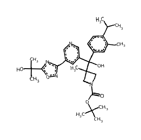 Cc1cc(C(O)(c2cncc(-c3noc(C(C)(C)O)n3)c2)C2(C)CN(C(=O)OC(C)(C)C)C2)ccc1C(C)C